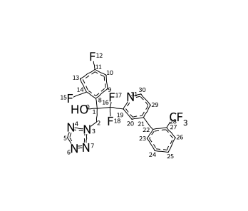 OC(Cn1ncnn1)(c1ccc(F)cc1F)C(F)(F)c1cc(-c2ccccc2C(F)(F)F)ccn1